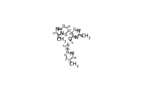 Cc1ccc([C@H]2C[C@@H]2COc2nc(C)ncc2-c2ccc3ncc(C)n3c2)nc1